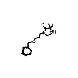 CC1(I)NCCN(CCCOCc2ccccc2)C1=O